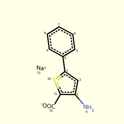 Nc1cc(-c2ccccc2)sc1C(=O)[O-].[Na+]